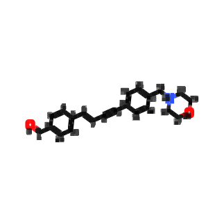 O=Cc1ccc(/C=C/C#Cc2ccc(CN3CCOCC3)cc2)cc1